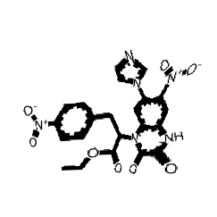 CCOC(=O)C(Cc1ccc([N+](=O)[O-])cc1)n1c(=O)c(=O)[nH]c2cc([N+](=O)[O-])c(-n3ccnc3)cc21